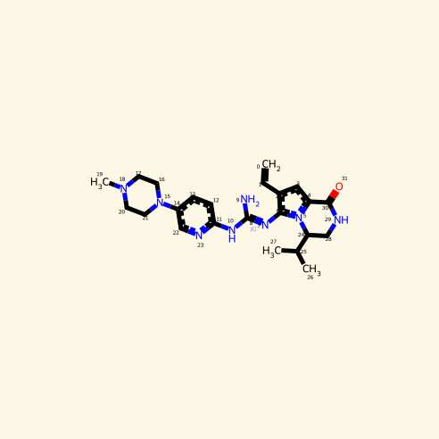 C=Cc1cc2n(c1/N=C(\N)Nc1ccc(N3CCN(C)CC3)cn1)C(C(C)C)CNC2=O